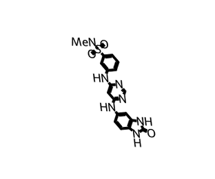 CNS(=O)(=O)c1cccc(Nc2cc(Nc3ccc4[nH]c(=O)[nH]c4c3)ncn2)c1